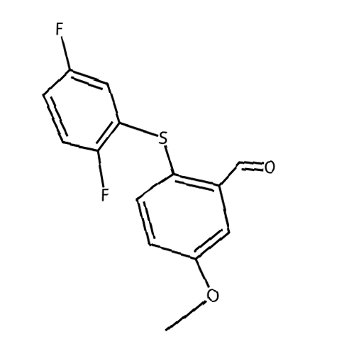 COc1ccc(Sc2cc(F)ccc2F)c(C=O)c1